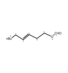 CCCCCC=CCCOC=O